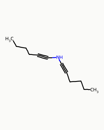 CCCCC#CNC#CCCCC